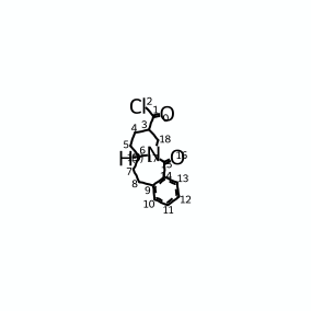 O=C(Cl)C1CC[C@H]2CCc3ccccc3C(=O)N2C1